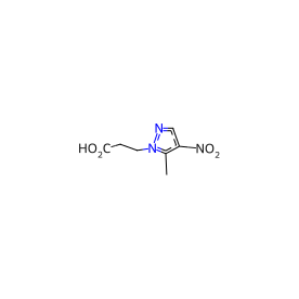 Cc1c([N+](=O)[O-])cnn1CCC(=O)O